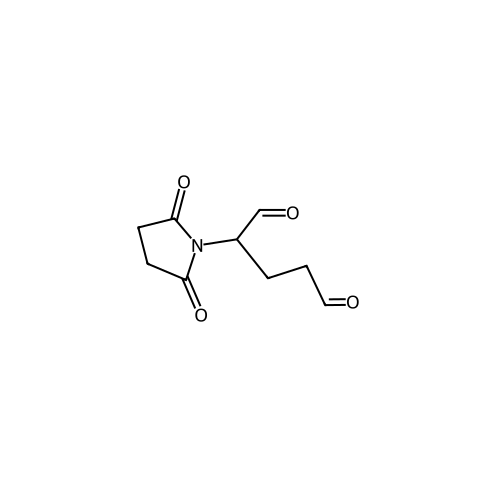 O=CCCC(C=O)N1C(=O)CCC1=O